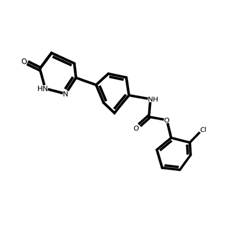 O=C(Nc1ccc(-c2ccc(=O)[nH]n2)cc1)Oc1ccccc1Cl